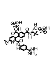 CN(C)c1ccc(-c2ccc(C(=O)N[C@H](CO)C(C)(C)C)cc2C(=O)O)c(C(=O)Nc2ccc(C(=N)N)cc2)n1.CS(=O)(=O)O.CS(=O)(=O)O